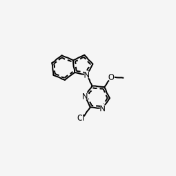 COc1cnc(Cl)nc1-n1ccc2ccccc21